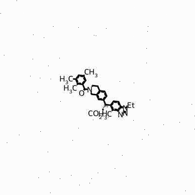 CCn1nnc2c(C)c([C@H](CC(=O)O)c3ccc4c(c3)CN(C(=O)c3cc(C)cc(C)c3C)CC4)ccc21